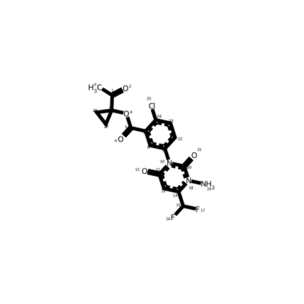 CC(=O)C1(OC(=O)c2cc(-n3c(=O)cc(C(F)F)n(N)c3=O)ccc2Cl)CC1